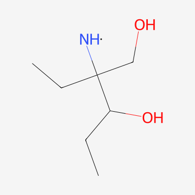 CCC(O)C([NH])(CC)CO